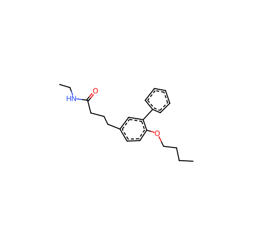 CCCCOc1ccc(CCCC(=O)NCC)cc1-c1ccccc1